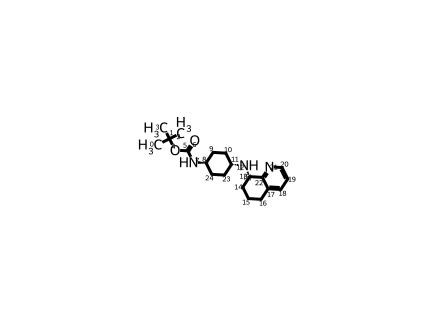 CC(C)(C)OC(=O)N[C@H]1CC[C@H](N[C@H]2CCCc3cccnc32)CC1